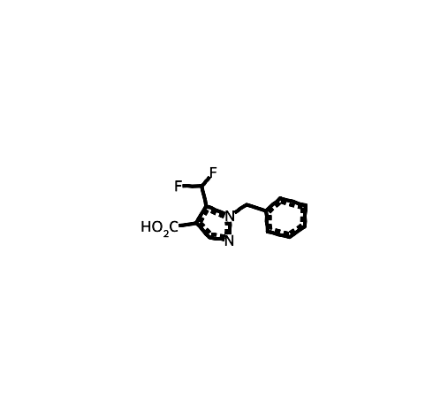 O=C(O)c1cnn(Cc2ccccc2)c1C(F)F